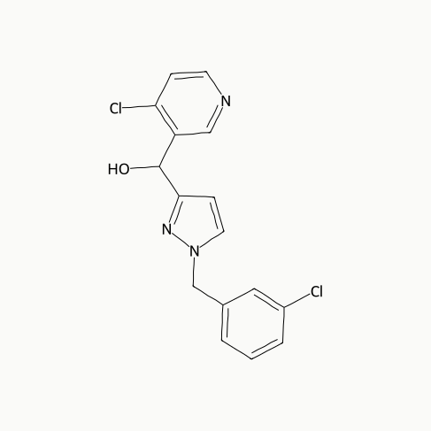 OC(c1ccn(Cc2cccc(Cl)c2)n1)c1cnccc1Cl